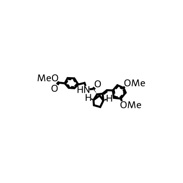 COC(=O)c1ccc(CNC(=O)[C@@H]2/C(=C/c3cc(OC)cc(OC)c3)[C@@H]3CC[C@H]2C3)cc1